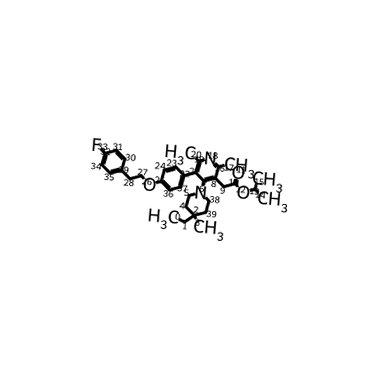 CCC1(C)CCN(c2c(CC(=O)OC(C)C)c(C)nc(C)c2-c2ccc(OCCc3ccc(F)cc3)cc2)CC1